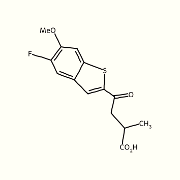 COc1cc2sc(C(=O)CC(C)C(=O)O)cc2cc1F